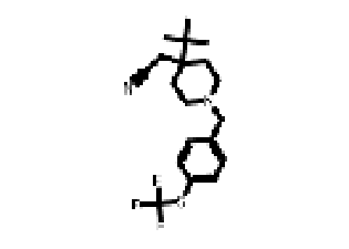 CC(C)(C)C1(CC#N)CCN(Cc2ccc(SC(F)(F)F)cc2)CC1